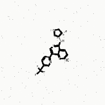 Cl.F[C@H]1CNC[C@H]1Nc1ncc(-c2ccc(C(F)(F)F)cn2)c2ncccc12